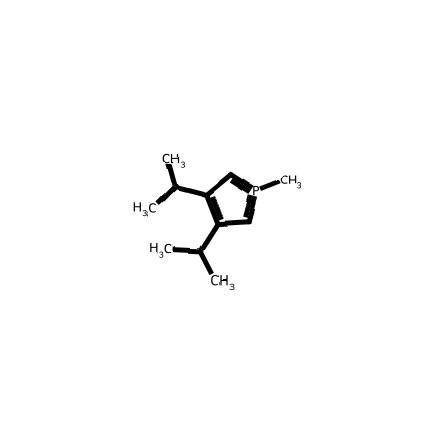 CC(C)C1=C(C(C)C)C=P(C)=C1